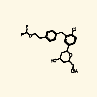 OCC1CC(O)CC(c2ccc(Cl)c(Cc3ccc(CCOC(F)F)cc3)c2)O1